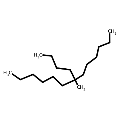 [CH2]C(CCCC)(CCCCCC)CCCCCC